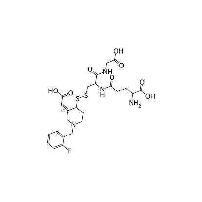 NC(CCC(=O)NC(CSSC1CCN(Cc2ccccc2F)C/C1=C/C(=O)O)C(=O)NCC(=O)O)C(=O)O